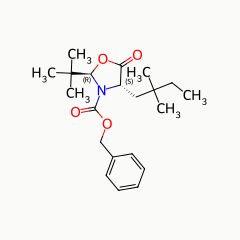 CCC(C)(C)C[C@H]1C(=O)O[C@H](C(C)(C)C)N1C(=O)OCc1ccccc1